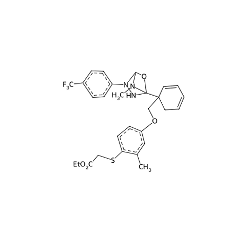 CCOC(=O)CSc1ccc(OCC2(C34NN(c5ccc(C(F)(F)F)cc5)C(O3)N4C)C=CC=CC2)cc1C